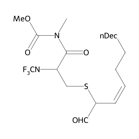 CCCCCCCCCCCC/C=C\C(C=O)SCC(NC(F)(F)F)C(=O)N(C)C(=O)OC